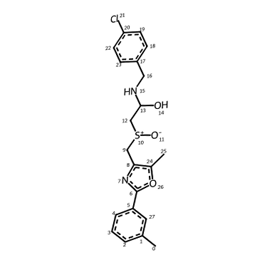 Cc1cccc(-c2nc(C[S+]([O-])CC(O)NCc3ccc(Cl)cc3)c(C)o2)c1